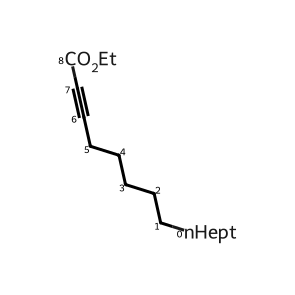 CCCCCCCCCCCCC#CC(=O)OCC